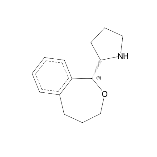 c1ccc2c(c1)CCCO[C@H]2C1CCCN1